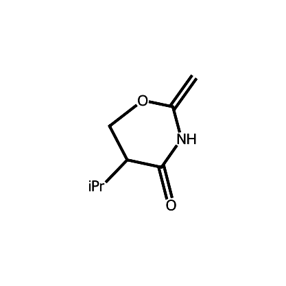 C=C1NC(=O)C(C(C)C)CO1